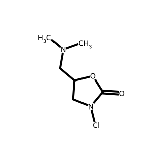 CN(C)CC1CN(Cl)C(=O)O1